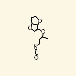 CC(CCN=C=O)OC1COC2CCOC21